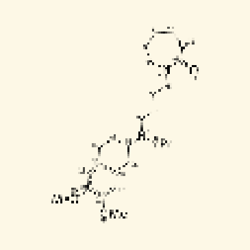 CCCN(CCCCN1CCCCOC1=O)C1CCc2cc(OC)c(OC)cc2C1